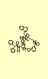 CN1CCC[C@H](NC(=O)Cc2cccc3ccccc23)C(=O)N2C[C@@H](NC(=O)C(c3ccccc3)c3ccccc3)C[C@H]2COc2cccc(c2)C1=O